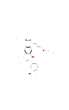 COC(=O)NCCN1C(=O)C(C)(C)Sc2cc(C)c(C(=O)N(C(C)C)[C@@H]3CCCN(C(=O)O)C3)cc21